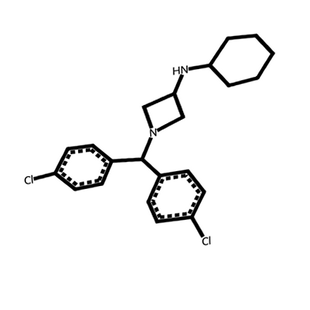 Clc1ccc(C(c2ccc(Cl)cc2)N2CC(NC3CCCCC3)C2)cc1